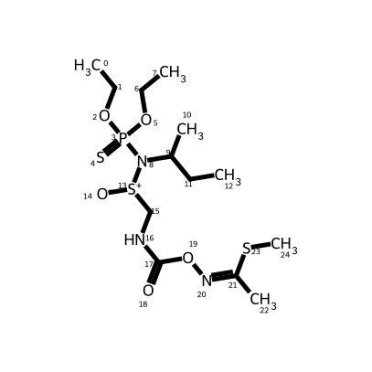 CCOP(=S)(OCC)N(C(C)CC)[S+]([O-])CNC(=O)ON=C(C)SC